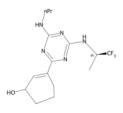 CCCNc1nc(N[C@H](C)C(F)(F)F)nc(C2=CC(O)CCC2)n1